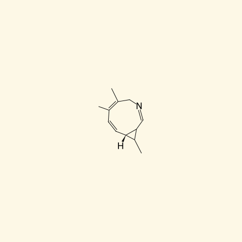 CC1=C(\C)C/N=C\C2C(C)[C@@H]2/C=C\1